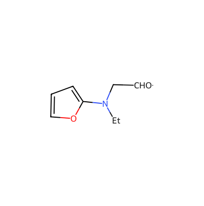 CCN(C[C]=O)c1ccco1